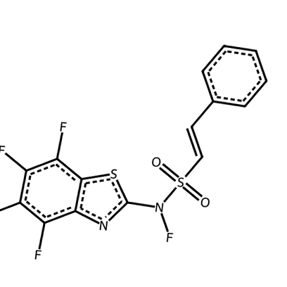 O=S(=O)(C=Cc1ccccc1)N(F)c1nc2c(F)c(F)c(F)c(F)c2s1